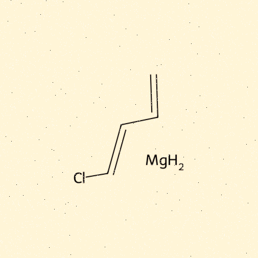 C=CC=CCl.[MgH2]